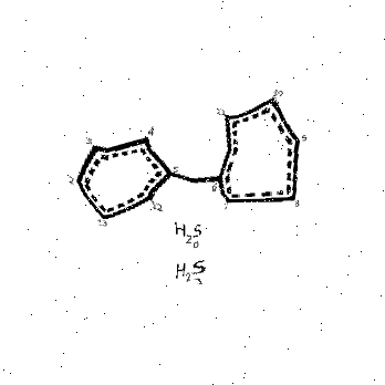 S.S.c1ccc(-c2ccccc2)cc1